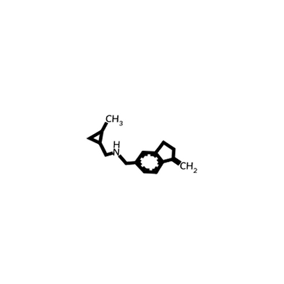 C=C1CCc2cc(CNCC3CC3C)ccc21